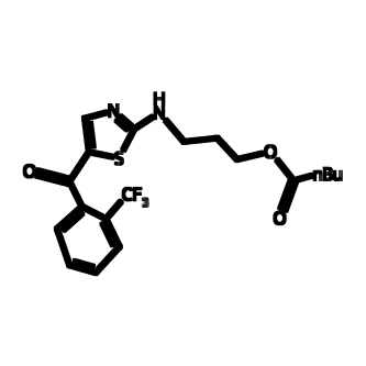 CCCCC(=O)OCCCNc1ncc(C(=O)c2ccccc2C(F)(F)F)s1